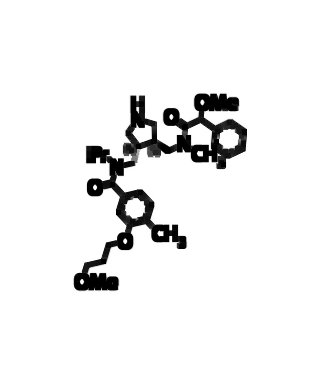 COCCCOc1cc(C(=O)N(C[C@@H]2CNC[C@H]2CN(C)C(=O)C(OC)c2ccccc2)C(C)C)ccc1C